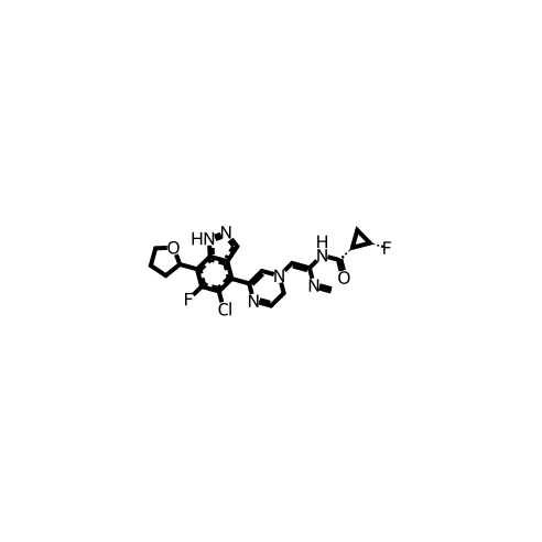 C=N/C(=C\N1C=C(c2c(Cl)c(F)c(C3CCCO3)c3[nH]ncc23)N=CC1)NC(=O)[C@@H]1C[C@@H]1F